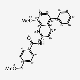 COCc1ccc(C(=O)Nc2cnc3c(-c4ccccc4)cnc(OC)c3n2)cc1